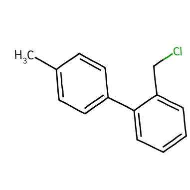 Cc1ccc(-c2ccccc2CCl)cc1